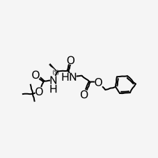 C[C@H](NC(=O)OC(C)(C)C)C(=O)NCC(=O)OCc1ccccc1